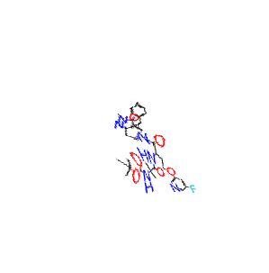 CN1N=C2CCN(C(=O)C(CCOc3cncc(F)c3)NC(=O)C(C)(C)NC(=O)OC(C)(C)C)C[C@@]2(Cc2ccccc2)C1=O